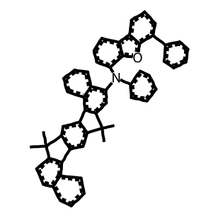 CC1(C)c2cc3c(cc2-c2c1ccc1ccccc21)C(C)(C)c1cc(N(c2ccccc2)c2cccc4c2oc2c(-c5ccccc5)cccc24)c2ccccc2c1-3